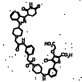 O=C(O)COc1c(C(=O)O)sc(-c2cccc(NC3CCN(S(=O)(=O)Cc4cccc(NC(=O)CN5CCC(n6nc(C7CCC(=O)NC7=O)c7ccccc76)CC5)c4)CC3)c2)c1Cl